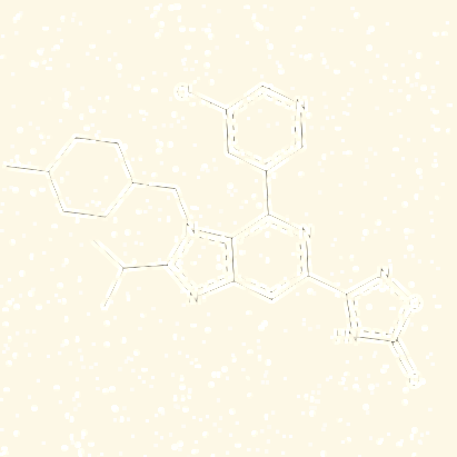 CC1CCC(Cn2c(C(C)C)nc3cc(-c4noc(=O)[nH]4)nc(-c4cncc(Cl)c4)c32)CC1